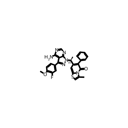 COc1ccc(-c2nn([C@@H](C)c3cc4scc(C)n4c(=O)c3-c3ccccc3)c3ncnc(N)c23)cc1F